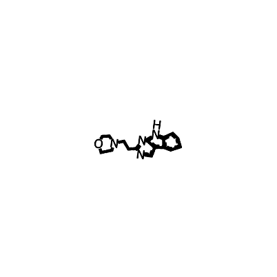 c1ccc2c(c1)[nH]c1nc(CCN3CCOCC3)ncc12